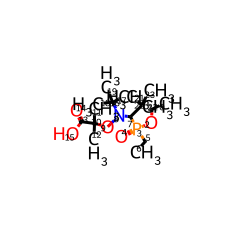 CCOP(=O)(CC)C(N(OC(C)(C)C(=O)O)C(C)(C)C)C(C)(C)C